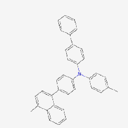 Cc1ccc(N(c2ccc(-c3ccccc3)cc2)c2ccc(-c3ccc(C)c4ccccc34)cc2)cc1